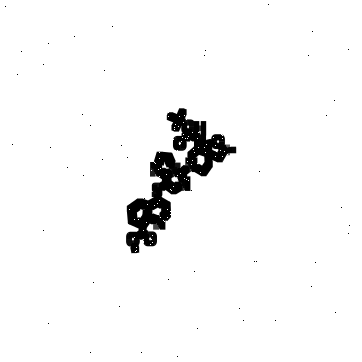 COC(=O)c1cccc2c(Sc3cnc(N4CCC5(CO[C@@H](C)C5)C(NC(=O)OC(C)(C)C)C4)n4ccnc34)ccnc12